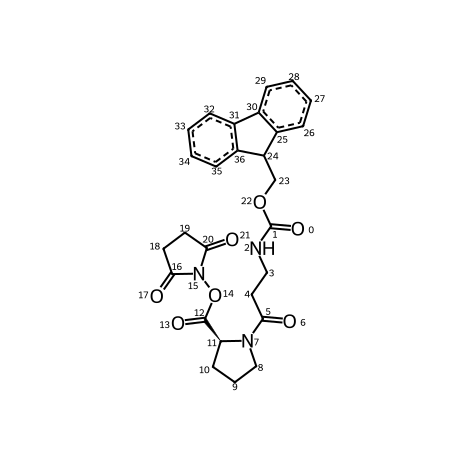 O=C(NCCC(=O)N1CCC[C@H]1C(=O)ON1C(=O)CCC1=O)OCC1c2ccccc2-c2ccccc21